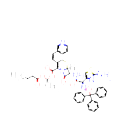 CCCC(=O)OC(C)OC(=O)C1=C(/C=C\c2cccnc2)CS[C@@H]2[C@H](NC(=O)/C(=N/OC(c3ccccc3)(c3ccccc3)c3ccccc3)c3csc(N)n3)C(=O)N12